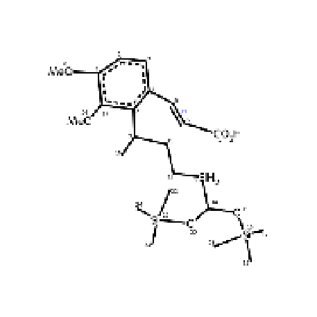 COc1ccc(/C=C/C(=O)O)c(C(C)CC[SiH2]C(O[Si](C)(C)C)O[Si](C)(C)C)c1OC